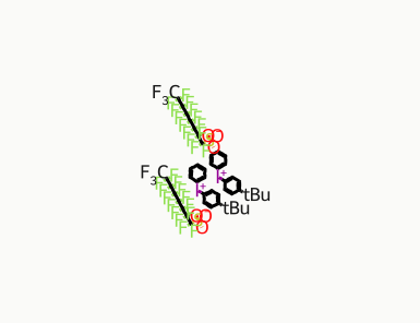 CC(C)(C)c1ccc([I+]c2ccccc2)cc1.CC(C)(C)c1ccc([I+]c2ccccc2)cc1.O=S(=O)([O-])C(F)(F)C(F)(F)C(F)(F)C(F)(F)C(F)(F)C(F)(F)C(F)(F)C(F)(F)F.O=S(=O)([O-])C(F)(F)C(F)(F)C(F)(F)C(F)(F)C(F)(F)C(F)(F)C(F)(F)C(F)(F)F